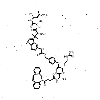 CN[C@@H](C(=O)N[C@H](C(=O)N(C)[C@H](/C=C(\C)C(=O)O)C(C)C)C(C)(C)C)C(C)(C)c1cn(C)c2ccc(NC(=O)OCc3ccc(NC(=O)[C@H](CCCNC(N)=O)NC(=O)[C@@H](NC(=O)CCC(=O)N4Cc5ccccc5/C=C\c5ccccc54)C(C)C)cc3)cc12